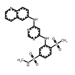 CNS(=O)(=O)c1ccc(S(C)(=O)=O)c(Nc2cc(Nc3ccc4ncccc4c3)ncn2)c1